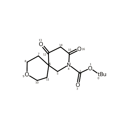 CC(C)(C)OC(=O)N1CC2(CCOCC2)C(=O)CC1=O